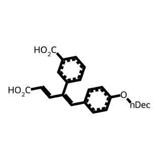 CCCCCCCCCCOc1ccc(/C=C(/C=C/C(=O)O)c2cccc(C(=O)O)c2)cc1